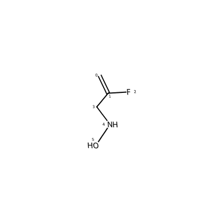 C=C(F)CNO